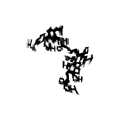 CC(O)c1ccc(CI)c(NC(=O)CSCC(NC(=O)NC(CCC(=O)O)C(=O)O)C(=O)O)c1